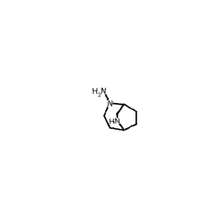 NN1CCC2CCC1CN2